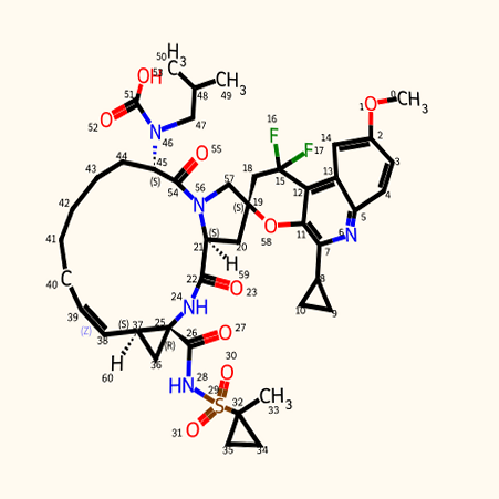 COc1ccc2nc(C3CC3)c3c(c2c1)C(F)(F)C[C@]1(C[C@H]2C(=O)N[C@]4(C(=O)NS(=O)(=O)C5(C)CC5)C[C@H]4/C=C\CCCCC[C@H](N(CC(C)C)C(=O)O)C(=O)N2C1)O3